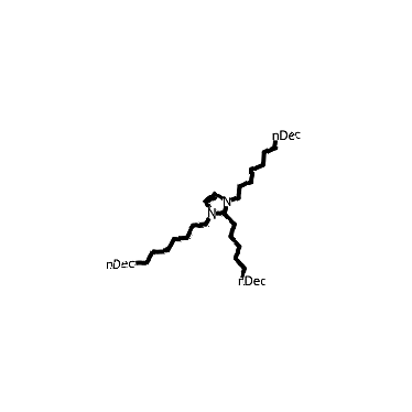 CCCCCCCCCCCCCCCCCN1C=CN(CCCCCCCCCCCCCCCCC)C1CCCCCCCCCCCCCCC